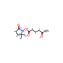 CC(C)C(=O)CCCC(=O)ON1C(=O)CCC1(C)C